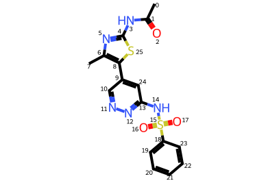 CC(=O)Nc1nc(C)c(-c2cnnc(NS(=O)(=O)c3ccccc3)c2)s1